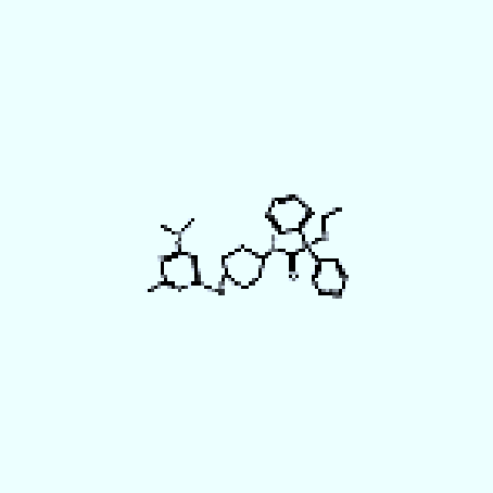 CCSC(C(=O)NC1CCC(Nc2cc(N(C)C)nc(C)n2)CC1)(c1ccccc1)c1ccccc1